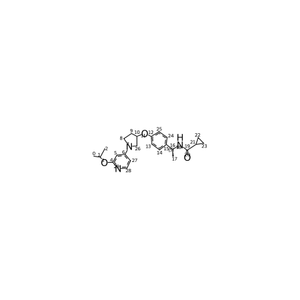 CC(C)Oc1cc(N2CCC(Oc3ccc([C@H](C)NC(=O)C4CC4)cc3)C2)ccn1